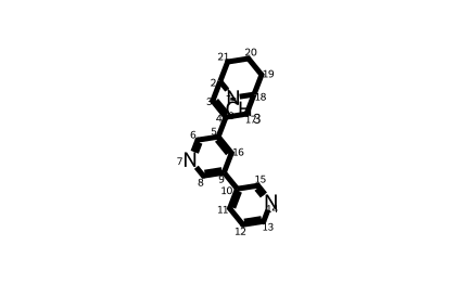 CN1C2C=C(c3cncc(-c4cccnc4)c3)CC1CCC2